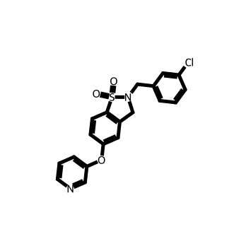 O=S1(=O)c2ccc(Oc3cccnc3)cc2CN1Cc1cccc(Cl)c1